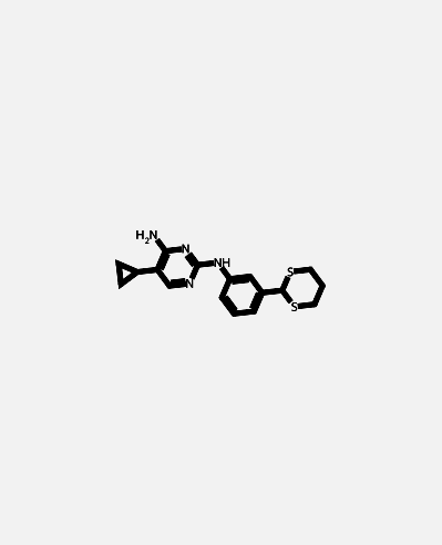 Nc1nc(Nc2cccc(C3SCCCS3)c2)ncc1C1CC1